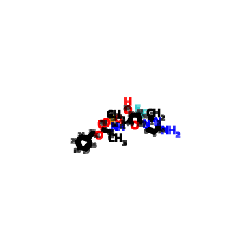 C=C1N=C(N)C=CN1[C@@H]1O[C@H](COP(C)(=O)N[C@@H](C)C(=O)OCc2ccccc2)C(O)C1(F)F